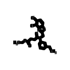 CCOC(=O)CCC(=O)N(Cc1nc2c(Cl)c(Cl)ccc2s1)c1cccc(CC)c1